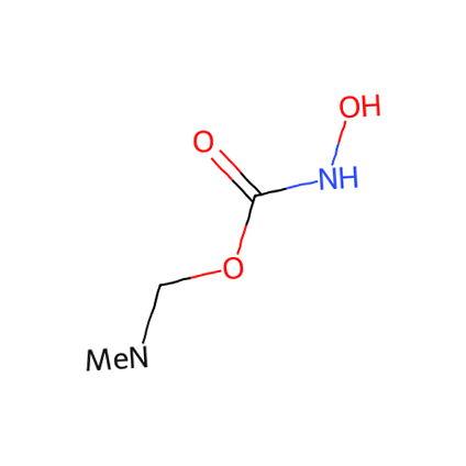 CNCOC(=O)NO